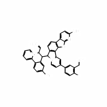 C=CC1C(C2c3ccc4c(oc5nc(C)ccc54)c3-c3cc(-c4ccc(F)c(CC(C)C)c4)cc[n+]32)c2cc(C(C)C)ccc2-c2cccc[n+]21